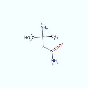 CC(N)(CC(N)=O)C(=O)O